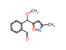 COC(c1cc(C)no1)c1ccccc1C=O